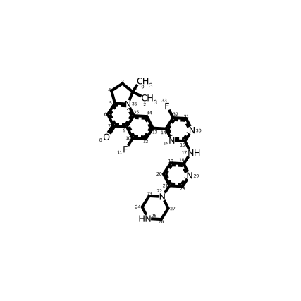 CC1(C)CCc2cc(=O)c3c(F)cc(-c4nc(Nc5ccc(N6CCNCC6)cn5)ncc4F)cc3n21